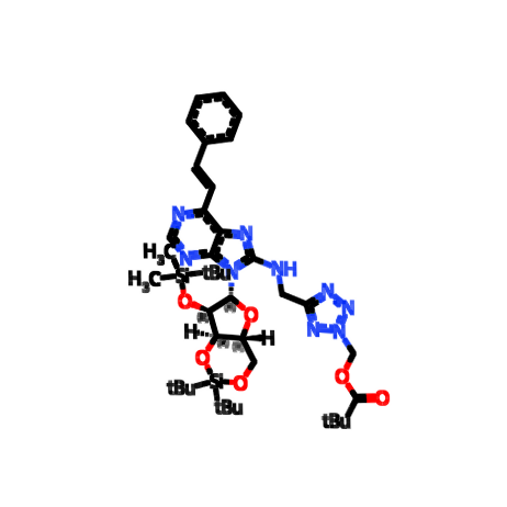 CC(C)(C)C(=O)OCn1nnc(CNc2nc3c(C=Cc4ccccc4)ncnc3n2[C@@H]2O[C@@H]3CO[Si](C(C)(C)C)(C(C)(C)C)O[C@H]3[C@H]2O[Si](C)(C)C(C)(C)C)n1